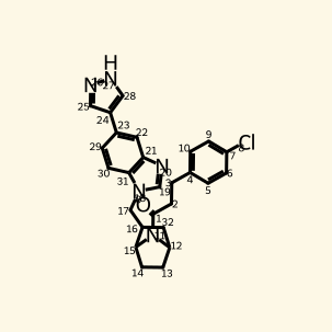 O=C(CCc1ccc(Cl)cc1)N1C2CCC1C(Cn1cnc3cc(-c4cn[nH]c4)ccc31)C2